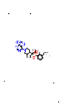 CC(C)(C1CCN(c2ncnc3[nH]cnc23)CC1)S(=O)(=O)c1cccc(C(F)(F)F)c1